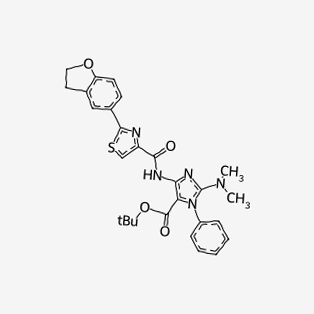 CN(C)c1nc(NC(=O)c2csc(-c3ccc4c(c3)CCO4)n2)c(C(=O)OC(C)(C)C)n1-c1ccccc1